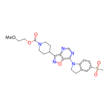 COCCOC(=O)N1CCC(c2noc3c(N4CCc5cc(S(C)(=O)=O)ccc54)ncnc23)CC1